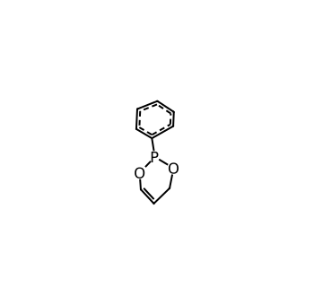 C1=COP(c2ccccc2)OC1